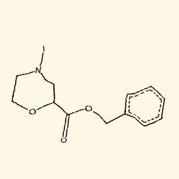 O=C(OCc1ccccc1)C1CN(I)CCO1